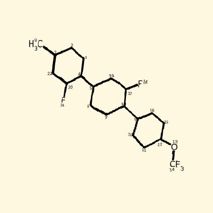 CC1CCC(C2CCC(C3CCC(OC(F)(F)F)CC3)C(F)C2)C(F)C1